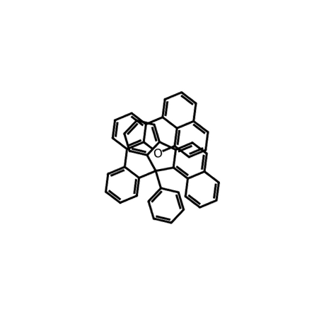 c1ccc(C2(c3ccccc3-c3cccc4c3Oc3cccc5cccc-4c35)c3ccccc3-c3ccc4ccccc4c32)cc1